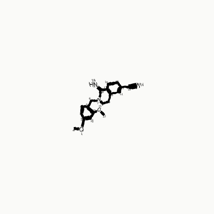 COc1ccc(CN2CCc3cc(C#N)ccc3C2=N)c(OC)c1